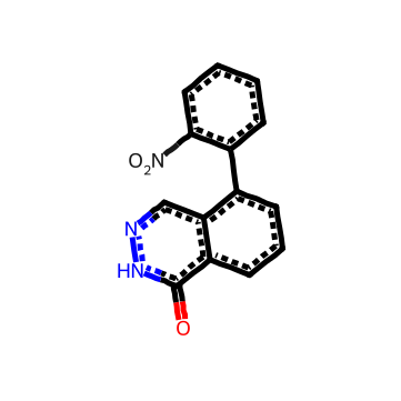 O=c1[nH]ncc2c(-c3ccccc3[N+](=O)[O-])cccc12